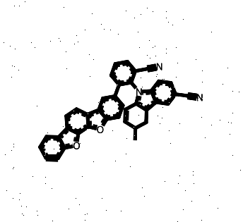 CC1C=Cc2c(c3cc(C#N)ccc3n2-c2c(C#N)cccc2-c2ccc3oc4c(ccc5c6ccc#cc6oc54)c3c2)C1